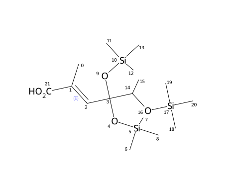 C/C(=C\C(O[Si](C)(C)C)(O[Si](C)(C)C)C(C)O[Si](C)(C)C)C(=O)O